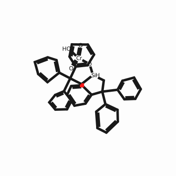 [O]=[Cr](=[O])([OH])[O][SiH](CC(c1ccccc1)(c1ccccc1)c1ccccc1)CC(c1ccccc1)(c1ccccc1)c1ccccc1